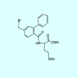 COC(=O)C(CCSC)NC(=O)c1ccc(CBr)cc1-c1ccccc1